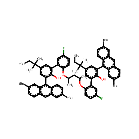 CC(CC(C)Oc1ccc(F)cc1-c1cc(C(C)(C)CC(C)(C)C)cc(-c2c3ccc(C(C)(C)C)cc3cc3ccc(C(C)(C)C)cc23)c1O)Oc1ccc(F)cc1-c1cc(C(C)(C)CC(C)(C)C)cc(-c2c3ccc(C(C)(C)C)cc3cc3ccc(C(C)(C)C)cc23)c1O